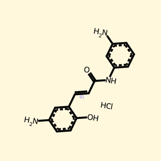 Cl.Nc1cccc(NC(=O)/C=C/c2cc(N)ccc2O)c1